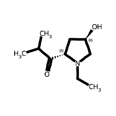 CCN1C[C@H](O)C[C@H]1C(=O)C(C)C